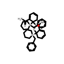 NC(=O)C1=CC=CCC1(SSC1([N+]2(Cc3ccccc3)CCCCC2)CC=CC=C1C(N)=O)[N+]1(Cc2ccccc2)CCCCC1